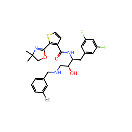 CCc1cccc(CNC[C@H](O)[C@H](Cc2cc(F)cc(F)c2)NC(=O)c2ccsc2C2=NC(C)(C)CO2)c1